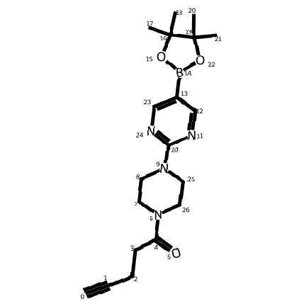 C#CCCC(=O)N1CCN(c2ncc(B3OC(C)(C)C(C)(C)O3)cn2)CC1